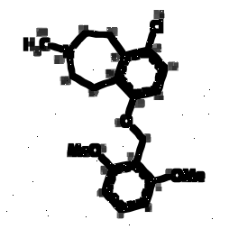 COc1cccc(OC)c1COc1ccc(Cl)c2c1CCN(C)CC2